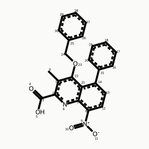 Cc1c(C(=O)O)nc2c([N+](=O)[O-])ccc(-c3ccccc3)c2c1OCc1ccccc1